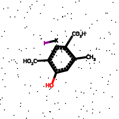 Cc1cc(O)c(C(=O)O)cc1C(=O)O.[K][I]